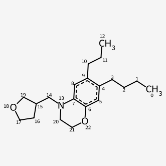 CCCCc1cc2c(cc1CCC)N(CC1CCOC1)CCO2